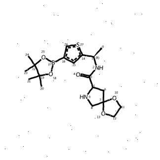 C[C@@H](NC(=O)C1CC2(CN1)OCCO2)c1cc(B2OC(C)(C)C(C)(C)O2)cs1